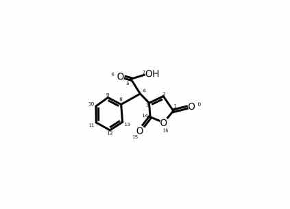 O=C1C=C(C(C(=O)O)c2ccccc2)C(=O)O1